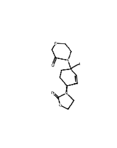 O=C1OCCN1C1C=CC(I)(N2CCOCC2=O)CC1